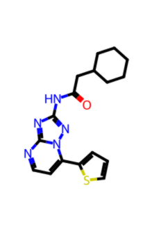 O=C(CC1CCCCC1)Nc1nc2nccc(-c3cccs3)n2n1